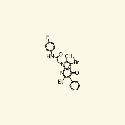 CCc1nc2n(CC(=O)Nc3ccc(F)cc3)c(C)c(Br)n2c(=O)c1-c1ccccc1